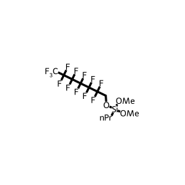 CCC[Si](OC)(OC)OCC(F)(F)C(F)(F)C(F)(F)C(F)(F)C(F)(F)C(F)(F)F